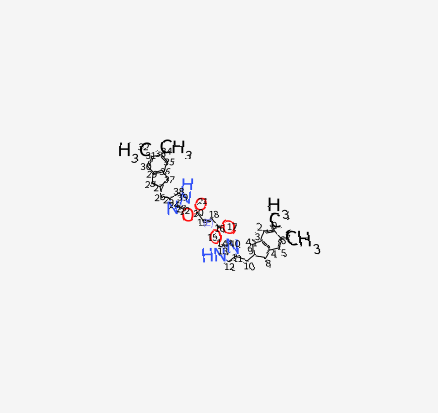 Cc1cc2c(cc1C)CC(CC1CNC(OC(=O)/C=C/C(=O)OC3=NC(CC4Cc5cc(C)c(C)cc5C4)CN3)=N1)C2